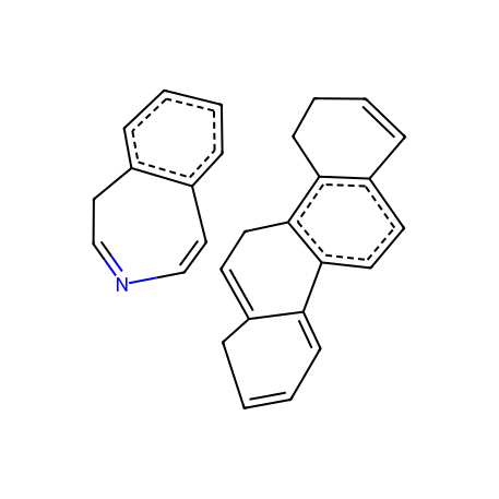 C1=CCC2=CCc3c(ccc4c3CCC=C4)C2=C1.C1=Cc2ccccc2CC=N1